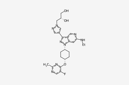 CCNc1cc2c(cn1)c(-c1cnn(C[C@@H](O)CO)c1)nn2[C@H]1CC[C@@H](Oc2nc(C)ncc2F)CC1